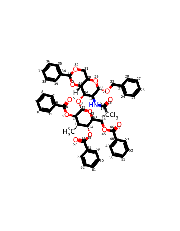 C[C@@H]1C(OC(=O)c2ccccc2)[C@H](O[C@@H]2C(NC(=O)C(Cl)(Cl)Cl)[C@@H](OCc3ccccc3)OC3COC(c4ccccc4)O[C@H]32)OC(COC(=O)c2ccccc2)[C@@H]1OC(=O)c1ccccc1